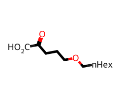 CCCCCCCOCCCC(=O)C(=O)O